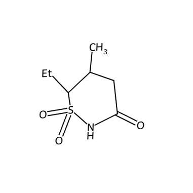 CCC1C(C)CC(=O)NS1(=O)=O